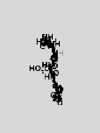 Cn1c(=O)sn(-c2cccc(OCCCNC(=O)CC[C@@H](NC(=O)c3ccc(NCCc4cc5c(=O)[nH]c(N)nc5[nH]4)cc3)C(=O)O)c2)c1=O